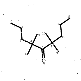 CCCC(C)(C)C(=O)C(C)(C)CCC